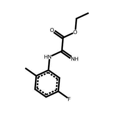 CCOC(=O)C(=N)Nc1cc(F)ccc1C